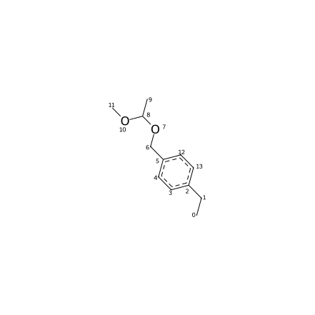 CCc1ccc(COC(C)OC)cc1